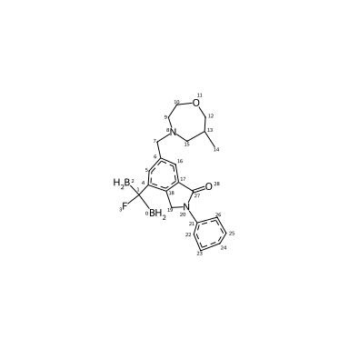 BC(B)(F)c1cc(CN2CCOCC(C)C2)cc2c1CN(c1ccccc1)C2=O